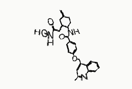 C=C1CCC(NC(=O)c2ccc(OCc3cc(C)nc4ccccc34)cc2)C(CC(=O)NO)C1